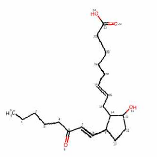 CCCCCC(=O)C=CC1CCC(O)C1CC=CCCCCC(=O)O